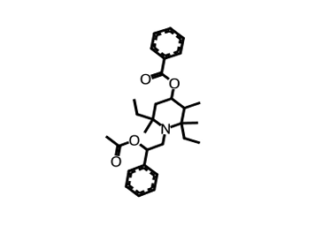 CCC1(C)CC(OC(=O)c2ccccc2)C(C)C(C)(CC)N1CC(OC(C)=O)c1ccccc1